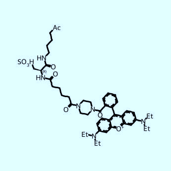 CCN(CC)c1ccc2c(-c3ccccc3C(=O)N3CCN(C(=O)CCCCC(=O)N[C@@H](CS(=O)(=O)O)C(=O)NCCCCC(C)=O)CC3)c3ccc(N(CC)CC)cc3[o+]c2c1